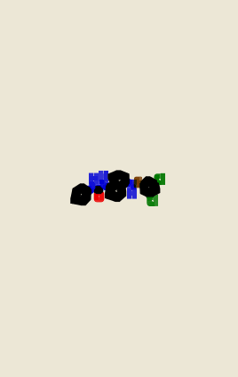 O=C(Nc1ccccc1)Nc1cccc2c(NSc3cc(Cl)cc(Cl)c3)cccc12